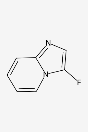 Fc1cnc2ccccn12